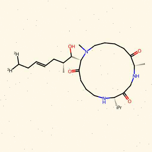 [2H]C([2H])CC=CC[C@@H](C)C(O)[C@H]1C(=O)CCCN[C@@H](C(C)C)C(=O)CN[C@@H](C)C(=O)CCCCN1C